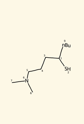 CCCCC(S)CCCN(C)C